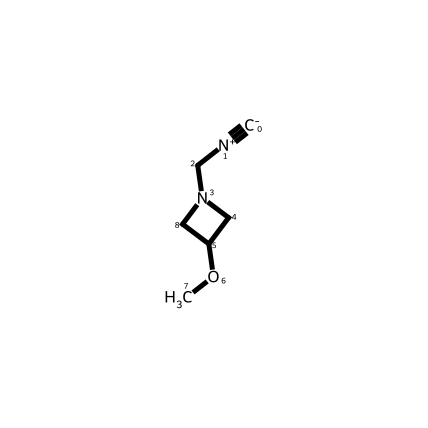 [C-]#[N+]CN1CC(OC)C1